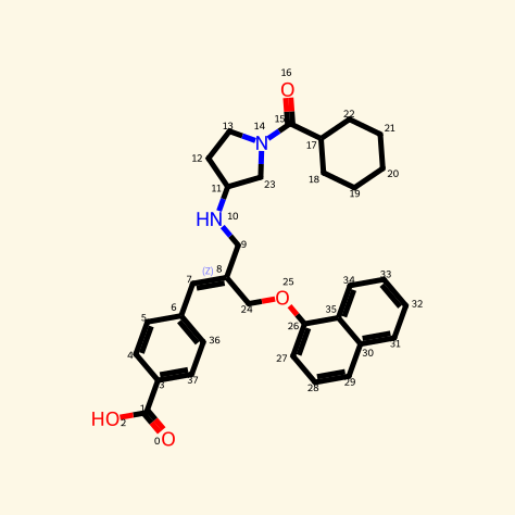 O=C(O)c1ccc(/C=C(/CNC2CCN(C(=O)C3CCCCC3)C2)COc2cccc3ccccc23)cc1